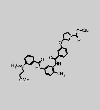 COCCN(C)c1cccc(C(=O)Nc2ccc(C)c(NC(=O)c3cccc(OC4CCN(C(=O)OC(C)(C)C)C4)c3)c2)c1